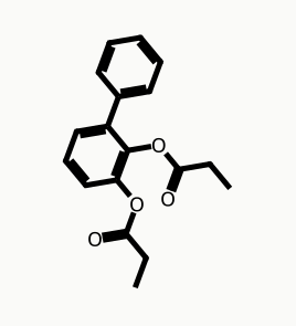 CCC(=O)Oc1cccc(-c2ccccc2)c1OC(=O)CC